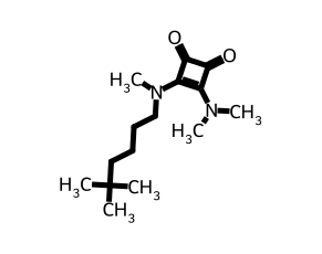 CN(C)c1c(N(C)CCCCC(C)(C)C)c(=O)c1=O